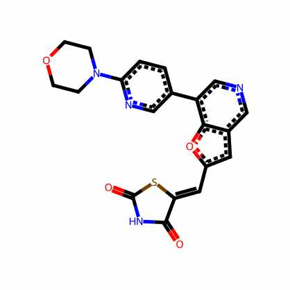 O=C1NC(=O)C(=Cc2cc3cncc(-c4ccc(N5CCOCC5)nc4)c3o2)S1